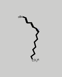 CCCCC=CC=C/C=C\CCCCCCCC(=O)O